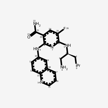 CC(C)C[C@@H](CN)Nc1nc(Nc2ccc3ncccc3c2)c(C(N)=O)cc1F